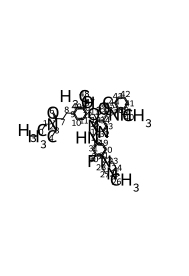 CCN(CC)C(=O)CCc1ccc(Oc2nc(Nc3ccc(N4CCN(C)CC4)c(F)c3)ncc2C(=O)Nc2c(C)cccc2C)c(OC)c1